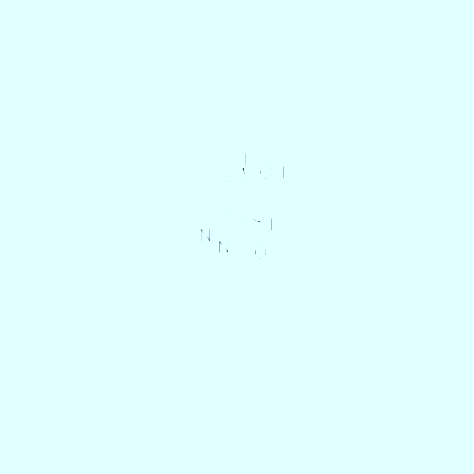 O=C([C@H]1C[C@@H](O)C2CC1C2)N1N=CCC1c1ccccc1